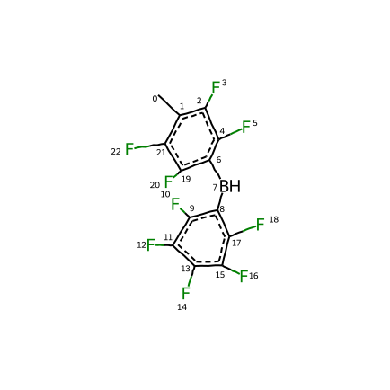 Cc1c(F)c(F)c(Bc2c(F)c(F)c(F)c(F)c2F)c(F)c1F